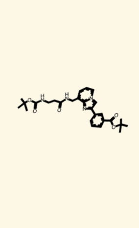 CC(C)(C)OC(=O)NCCC(=O)NCc1cccn2cc(-c3cccc(C(=O)OC(C)(C)C)c3)nc12